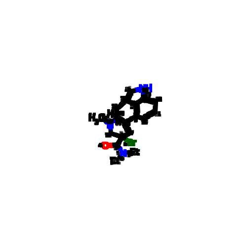 CCN(CC)C(=O)C1(Br)C=C2c3cccc4[nH]cc(c34)C[C@H]2N(C)C1